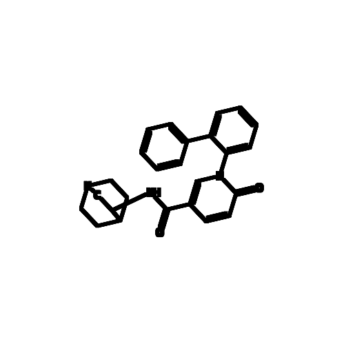 O=C(NC1CN2CCC1CC2)c1ccc(=O)n(-c2ccccc2-c2ccccc2)c1